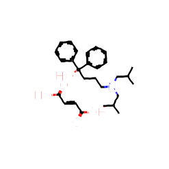 CC(C)CN(CCCC(O)(c1ccccc1)c1ccccc1)CC(C)C.O=C(O)C=CC(=O)O